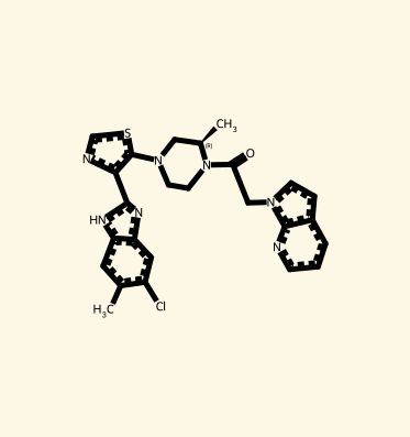 Cc1cc2[nH]c(-c3ncsc3N3CCN(C(=O)Cn4ccc5cccnc54)[C@H](C)C3)nc2cc1Cl